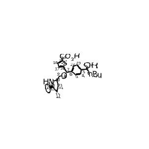 CCCCC(O)c1ccc([C@H](OCC2CCC(=O)N2)c2ccc(C(=O)O)s2)cc1